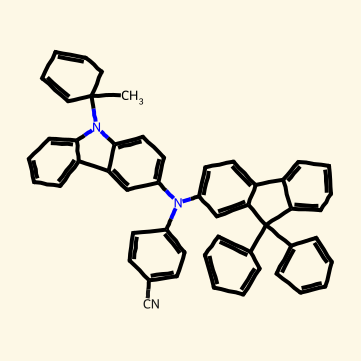 CC1(n2c3ccccc3c3cc(N(c4ccc(C#N)cc4)c4ccc5c(c4)C(c4ccccc4)(c4ccccc4)c4ccccc4-5)ccc32)C=CC=CC1